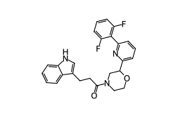 O=C(CCc1c[nH]c2ccccc12)N1CCOC(c2cccc(-c3c(F)cccc3F)n2)C1